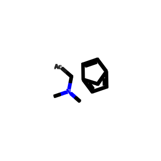 C1=CC2=CC=C1C2.CC(=O)CN(C)C